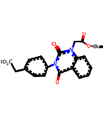 CCOC(=O)Cc1ccc(-n2c(=O)c3ccccc3n(CC(=O)OC(C)(C)C)c2=O)cc1